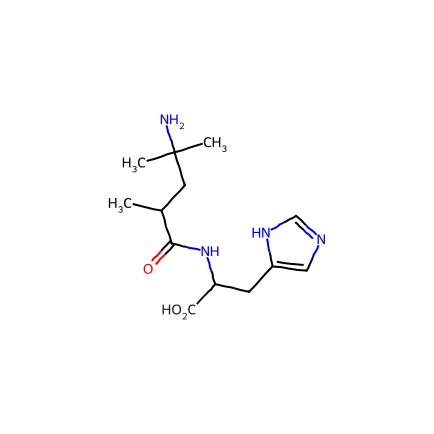 CC(CC(C)(C)N)C(=O)NC(Cc1cnc[nH]1)C(=O)O